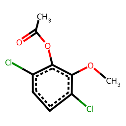 COc1c(Cl)ccc(Cl)c1OC(C)=O